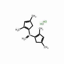 Cl.Cl.[CH2]=[Ti]([C]1=C(C)C=C(C)C1)[C]1=C(C)C=C(C)C1